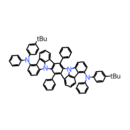 CC(C)(C)c1ccc(N(c2ccccc2)c2cccc3c2c2cccc4c5c(-c6ccccc6)c6c(c(-c7ccccc7)c5n3c24)c2cccc3c4c(N(c5ccccc5)c5ccc(C(C)(C)C)cc5)cccc4n6c32)cc1